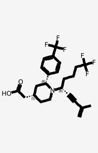 C=C(C)C#C[C@@H](CCCC(F)(F)F)N1CC[C@H](CC(=O)O)C[C@@H]1c1ccc(C(F)(F)F)cc1